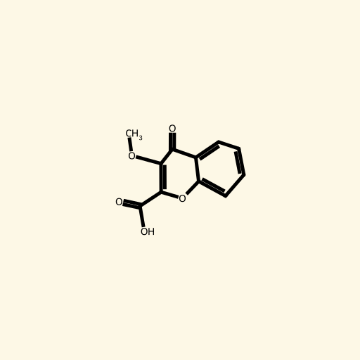 COc1c(C(=O)O)oc2ccccc2c1=O